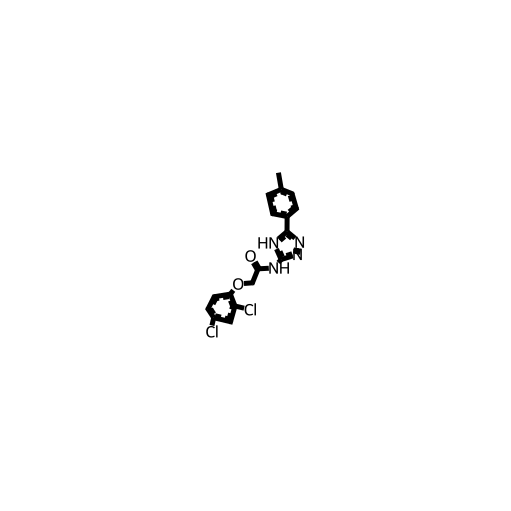 Cc1ccc(-c2nnc(NC(=O)COc3ccc(Cl)cc3Cl)[nH]2)cc1